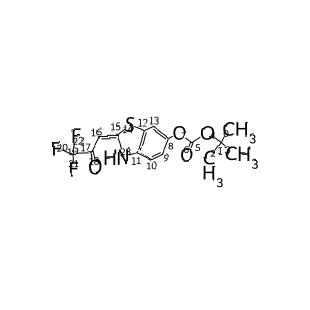 CC(C)(C)OC(=O)Oc1ccc2c(c1)S/C(=C/C(=O)C(F)(F)F)N2